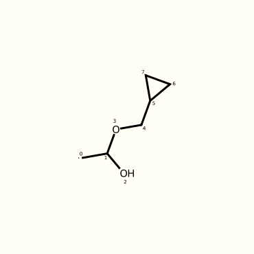 [CH2]C(O)OCC1CC1